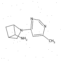 Cc1cc(N2CC3CC2C3N)ncn1